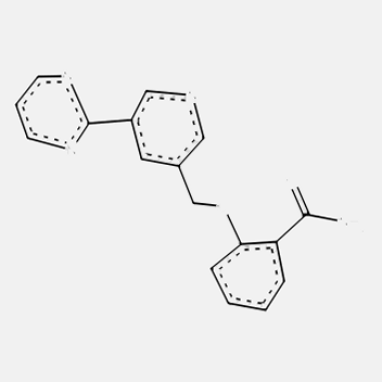 NC(=O)c1ccccc1OCc1cncc(-c2ncccn2)c1